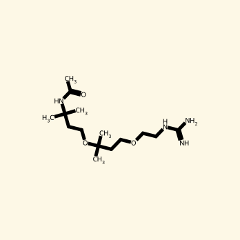 CC(=O)NC(C)(C)CCOC(C)(C)CCOCCNC(=N)N